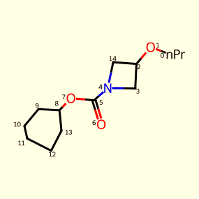 CCCOC1CN(C(=O)OC2CCCCC2)C1